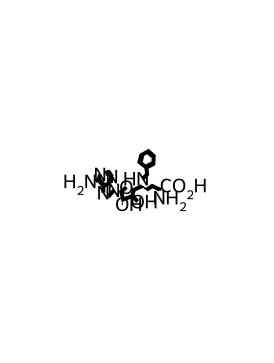 Nc1ncnc2c1ncn2[C@@H]1O[C@H]([C@H](CC[C@H](N)C(=O)O)NCc2ccccc2)C(O)[C@@H]1O